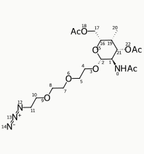 CC(=O)N[C@H]1[C@H](OCCOCCOCCN=[N+]=[N-])O[C@H](COC(C)=O)[C@H](C)[C@@H]1OC(C)=O